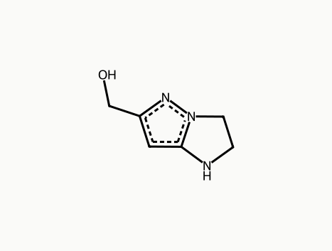 OCc1cc2n(n1)CCN2